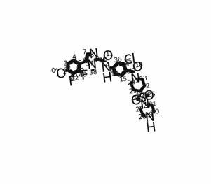 COc1ccc(-c2cnc(C(=O)Nc3ccc(C(=O)N4CCC(S(=O)(=O)N5CCNCC5)CC4)c(Cl)c3)n2C)c(F)c1F